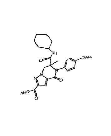 COC(=O)c1cc2n(n1)CC(C)(C(=O)NC1CCCCC1)N(c1ccc(OC)cc1)C2=O